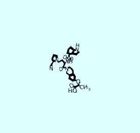 CC(Oc1ccc2c(c1)CCN(C(=O)C(CCn1cccc1C#N)NS(=O)(=O)c1cccc3[nH]ccc13)C2)C(=O)O